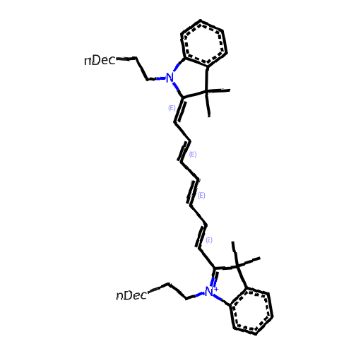 CCCCCCCCCCCCN1/C(=C/C=C/C=C/C=C/C2=[N+](CCCCCCCCCCCC)c3ccccc3C2(C)C)C(C)(C)c2ccccc21